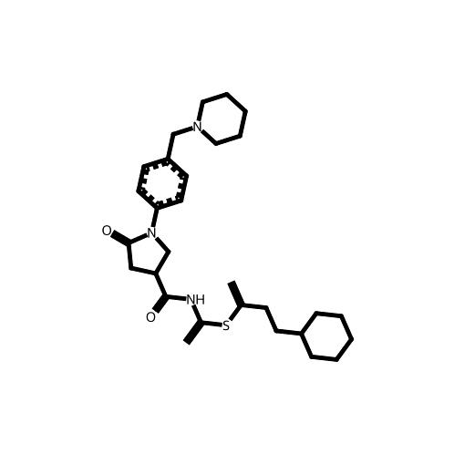 C=C(CCC1CCCCC1)SC(=C)NC(=O)C1CC(=O)N(c2ccc(CN3CCCCC3)cc2)C1